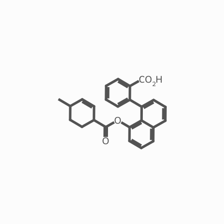 CC1C=CC(C(=O)Oc2cccc3cccc(-c4ccccc4C(=O)O)c23)CC1